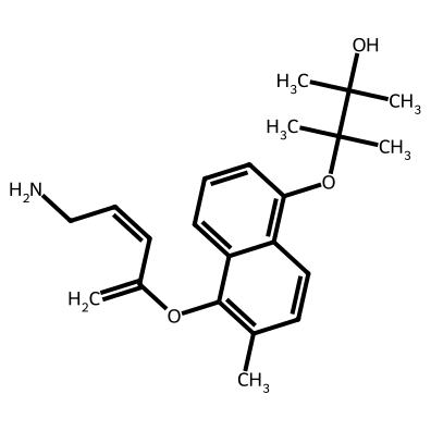 C=C(/C=C\CN)Oc1c(C)ccc2c(OC(C)(C)C(C)(C)O)cccc12